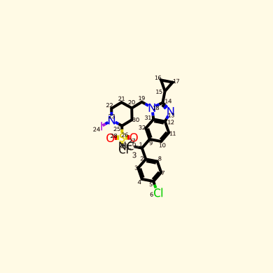 N#CC(c1ccc(Cl)cc1)c1ccc2nc(C3CC3)n(CC3CCN(I)C(S(=O)(=O)C(F)(F)F)C3)c2c1